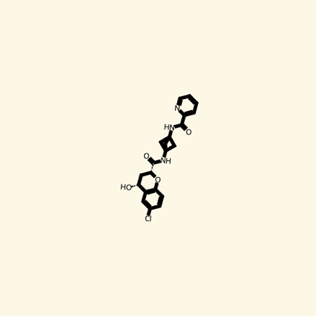 O=C(NC12CC(NC(=O)[C@H]3C[C@@H](O)c4cc(Cl)ccc4O3)(C1)C2)c1ccccn1